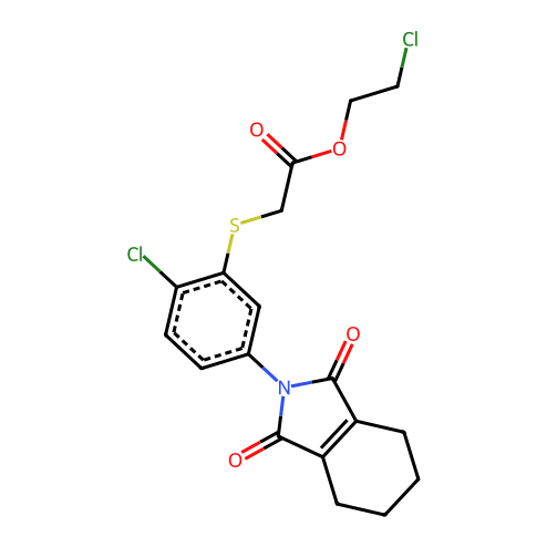 O=C(CSc1cc(N2C(=O)C3=C(CCCC3)C2=O)ccc1Cl)OCCCl